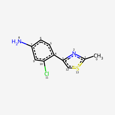 Cc1nc(-c2ccc(N)cc2Cl)cs1